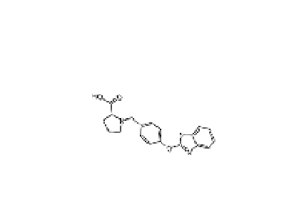 O=C(O)C1CCCN1Cc1ccc(Oc2nc3ccccc3s2)cc1